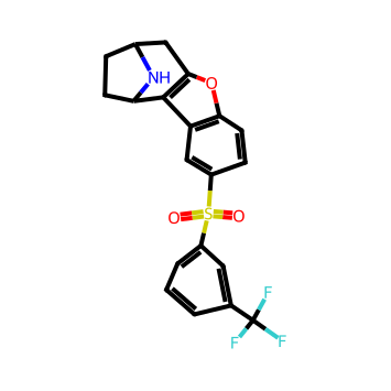 O=S(=O)(c1cccc(C(F)(F)F)c1)c1ccc2oc3c(c2c1)C1CCC(C3)N1